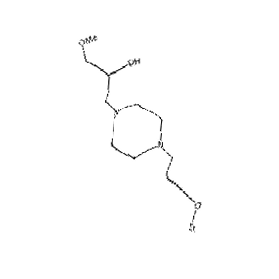 CCOCCN1CCN(CC(O)COC)CC1